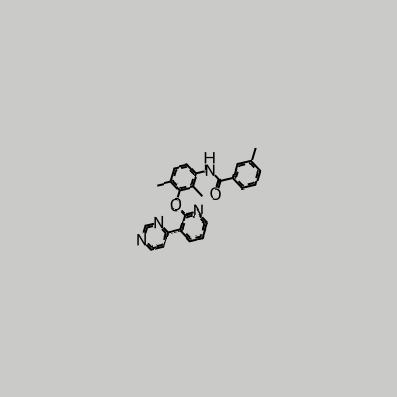 Cc1cccc(C(=O)Nc2ccc(C)c(Oc3ncccc3-c3ccncn3)c2C)c1